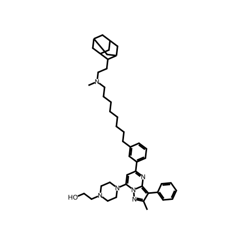 Cc1nn2c(N3CCN(CCO)CC3)cc(-c3cccc(CCCCCCCCN(C)CCC4C5CC6CC(C5)CC4C6)c3)nc2c1-c1ccccc1